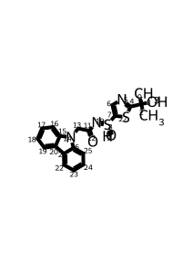 CC(C)(O)c1ncc([SH](=O)=NC(=O)Cn2c3ccccc3c3ccccc32)s1